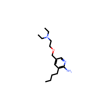 CCCCc1cc(COCCN(CC)CC)cnc1N